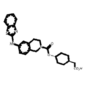 O=C(O)C[C@H]1CC[C@H](OC(=O)N2CCc3cc(Nc4nc5ccccc5s4)ccc3C2)CC1